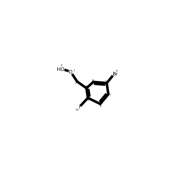 OOCc1cc(Br)ccc1I